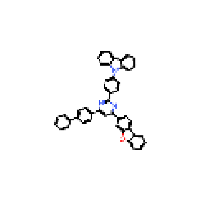 c1ccc(-c2ccc(-c3cc(-c4ccc5c(c4)oc4ccccc45)nc(-c4ccc(-n5c6ccccc6c6ccccc65)cc4)n3)cc2)cc1